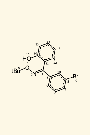 CC(C)(C)ON=C(c1cccc(Br)c1)c1ncccc1O